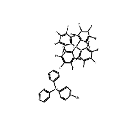 CC(C)(C)c1ccc([S+](c2ccccc2)c2ccccc2)cc1.Fc1c(F)c(F)[c]([Ga-]([c]2c(F)c(F)c(F)c(F)c2F)([c]2c(F)c(F)c(F)c(F)c2F)[c]2c(F)c(F)c(F)c(F)c2F)c(F)c1F